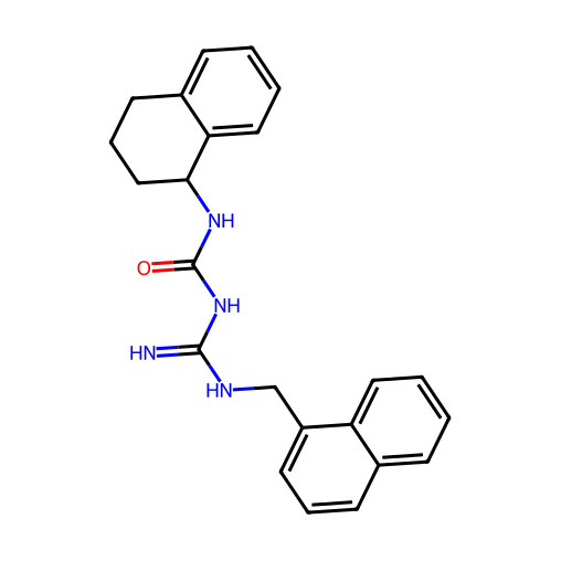 N=C(NCc1cccc2ccccc12)NC(=O)NC1CCCc2ccccc21